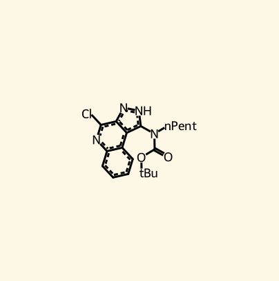 CCCCCN(C(=O)OC(C)(C)C)c1[nH]nc2c(Cl)nc3ccccc3c12